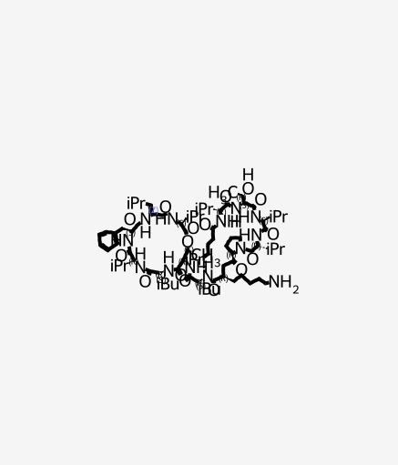 CC[C@H](C)[C@@H](NC(=O)[C@H](CCCCCN)CC(=O)[C@H]1CCCN1C(=O)[C@H](NC(=O)[C@@H](NC(=O)[C@@H](NC(=O)[C@H](NC(=O)CCCC(C)C)C(C)C)[C@@H](C)O)C(C)C)C(C)C)C(=O)N[C@H]1C(=O)N[C@H]([C@@H](C)CC)C(=O)N[C@H](C(C)C)C(=O)N[C@@H](Cc2ccccc2)C(=O)N/C(=C\C(C)C)C(=O)N[C@@H](C(C)C)C(=O)O[C@H]1C